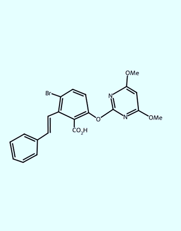 COc1cc(OC)nc(Oc2ccc(Br)c(C=Cc3ccccc3)c2C(=O)O)n1